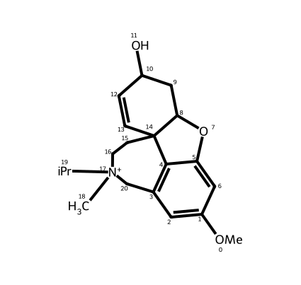 COc1cc2c3c(c1)OC1CC(O)C=CC31CC[N+](C)(C(C)C)C2